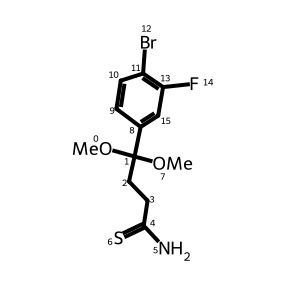 COC(CCC(N)=S)(OC)c1ccc(Br)c(F)c1